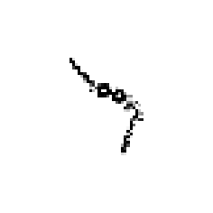 CCCCCCCCOc1ccc(-c2ccc(OC(=O)O[C@H]3O[C@H]3CCCCCCCC)cc2)cc1